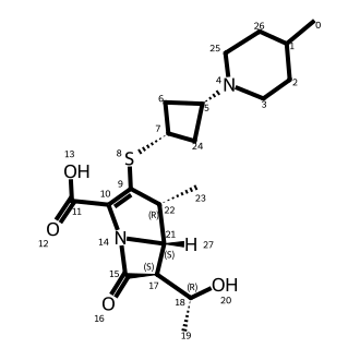 CC1CCN([C@H]2C[C@@H](SC3=C(C(=O)O)N4C(=O)[C@H]([C@@H](C)O)[C@H]4[C@H]3C)C2)CC1